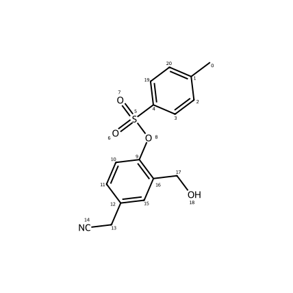 Cc1ccc(S(=O)(=O)Oc2ccc(CC#N)cc2CO)cc1